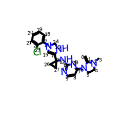 C=C1N(C)CCN1c1ccnc(NC2(C3=CN(c4ccccc4Cl)CN3)CC2)n1